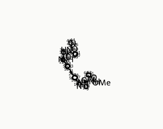 COC(=O)N[C@@H](C(=O)N1CCC[C@H]1c1ncc(-c2ccc(C#Cc3ccc(-c4cnc([C@@H]5CCCN5C(=O)[C@H](NC(=O)C5CCCN5C)c5ccccc5)[nH]4)cc3)cc2)[nH]1)c1ccccc1